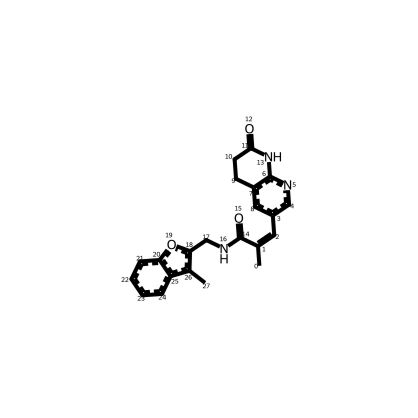 CC(=Cc1cnc2c(c1)CCC(=O)N2)C(=O)NCc1oc2ccccc2c1C